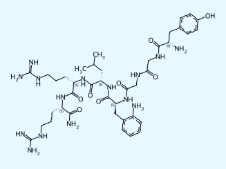 CC(C)C[C@H](NC(=O)[C@H](Cc1ccccc1N)NC(=O)CNC(=O)CNC(=O)[C@@H](N)Cc1ccc(O)cc1)C(=O)N[C@@H](CCCNC(=N)N)C(=O)N[C@@H](CCCNC(=N)N)C(N)=O